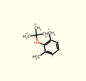 Cc1cccc(C)c1OC(C)(C)C